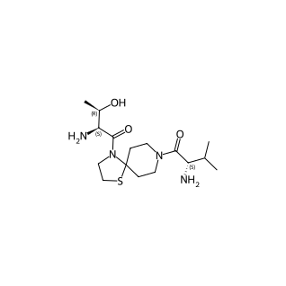 CC(C)[C@H](N)C(=O)N1CCC2(CC1)SCCN2C(=O)[C@@H](N)[C@@H](C)O